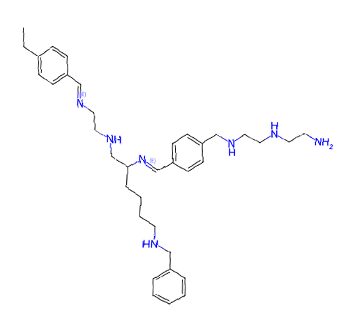 CCc1ccc(/C=N/CCNCC(CCCCNCc2ccccc2)/N=C/c2ccc(CNCCNCCN)cc2)cc1